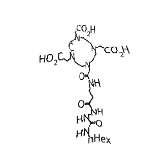 CCCCCCNC(=O)NNC(=O)CCNC(=O)CN1CCN(CC(=O)O)CCN(CC(=O)O)CCN(CC(=O)O)CC1